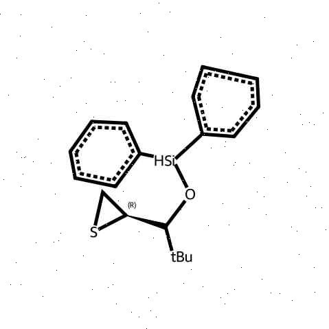 CC(C)(C)C(O[SiH](c1ccccc1)c1ccccc1)[C@@H]1CS1